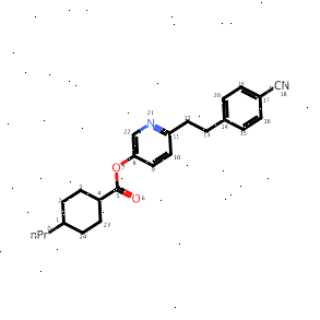 CCCC1CCC(C(=O)Oc2ccc(CCc3ccc(C#N)cc3)nc2)CC1